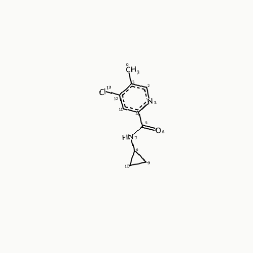 Cc1cnc(C(=O)NC2CC2)cc1Cl